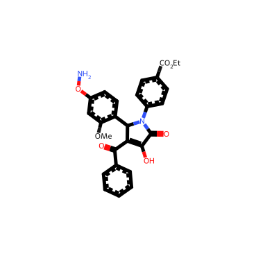 CCOC(=O)c1ccc(N2C(=O)C(O)=C(C(=O)c3ccccc3)C2c2ccc(ON)cc2OC)cc1